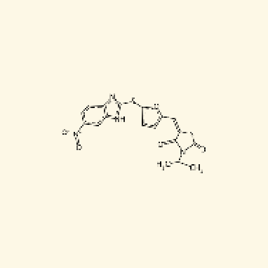 CC(C)N1C(=O)SC(=Cc2ccc(Sc3nc4ccc([N+](=O)[O-])cc4[nH]3)o2)C1=O